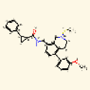 COc1cccc(-c2ccc(CNC(=O)C3CC3c3ccccc3)c3c2CCN(SC)C3)c1